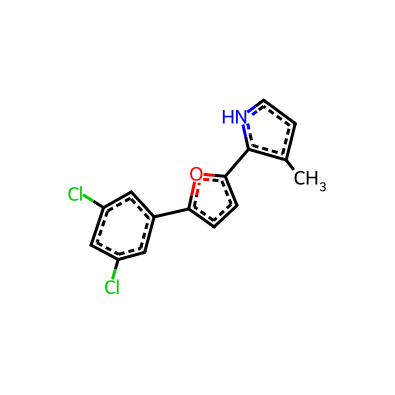 Cc1cc[nH]c1-c1ccc(-c2cc(Cl)cc(Cl)c2)o1